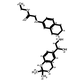 CCOC(=O)COc1ccc2c(c1)C[C@@H](NCC(O)c1ccc3c(c1)COC(C)(C)O3)CC2